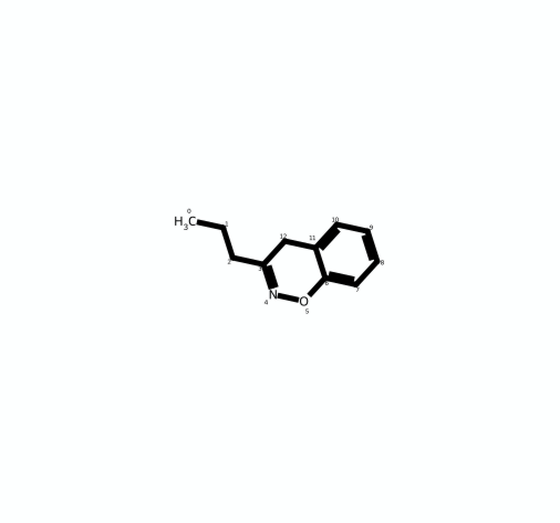 CCCC1=NOc2ccccc2C1